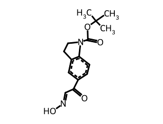 CC(C)(C)OC(=O)N1CCc2cc(C(=O)C=NO)ccc21